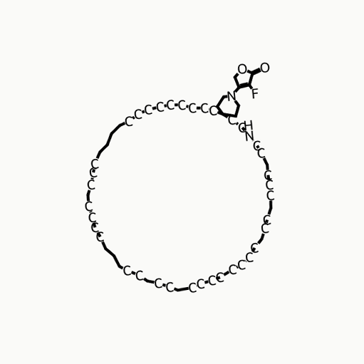 O=C1OCC(N2CCC3(CCCCCCCCCCCCCCCCCCCCCCCCCCCCCCCCCCCCCCCCCCCCCCCCNCC3)CC2)=C1F